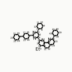 CCc1cc(-c2cc(-c3ccccc3)nc(-c3ccc(-c4ccccc4)cc3)n2)nc2c1ccc1ccc(-c3ccccc3)nc12